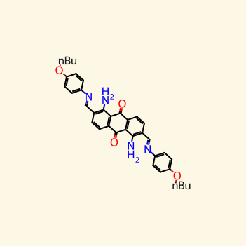 CCCCOc1ccc(N=Cc2ccc3c(c2N)C(=O)c2ccc(C=Nc4ccc(OCCCC)cc4)c(N)c2C3=O)cc1